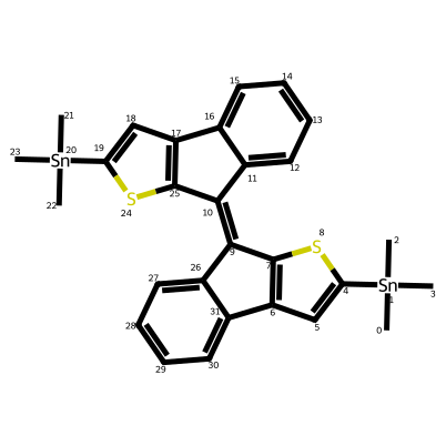 [CH3][Sn]([CH3])([CH3])[c]1cc2c(s1)C(=C1c3ccccc3-c3c[c]([Sn]([CH3])([CH3])[CH3])sc31)c1ccccc1-2